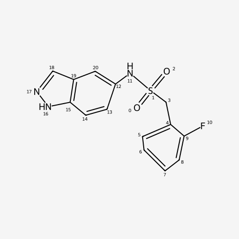 O=S(=O)(Cc1ccccc1F)Nc1ccc2[nH]ncc2c1